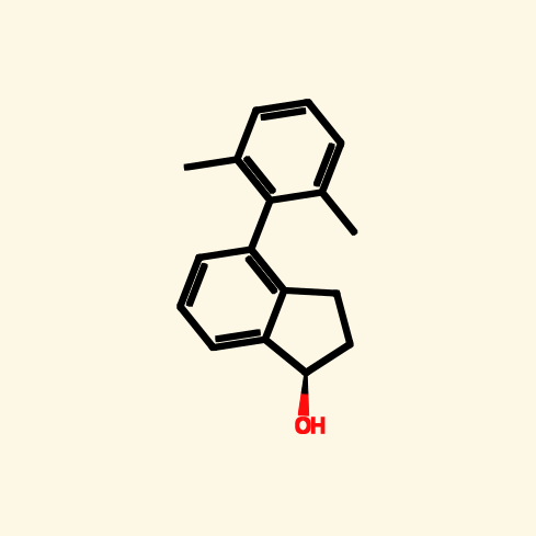 Cc1cccc(C)c1-c1cccc2c1CC[C@H]2O